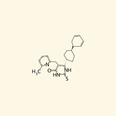 Cc1cccc(Cc2c(=O)[nH]c(=S)[nH]c2[C@H]2CC[C@H](C3C=CC=CC3)CC2)n1